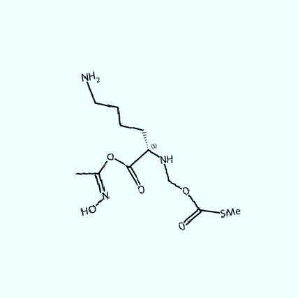 CSC(=O)OCN[C@@H](CCCCN)C(=O)OC(C)=NO